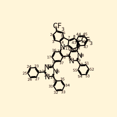 FC(F)(F)c1ccc2c(c1)c1cc(C(F)(F)F)ccc1n2-c1ccc(-c2nc(-c3ccccc3)nc(-c3ccccc3)n2)cc1-c1cc(-c2ccccc2)nc(-c2ccccc2)n1